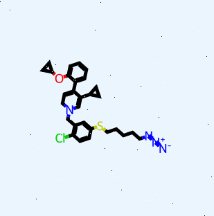 [N-]=[N+]=NCCCCCSc1ccc(Cl)c(CN2C=C(C3CC3)C(c3ccccc3OC3CC3)=CC2)c1